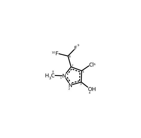 Cn1nc(O)c(Cl)c1C(F)F